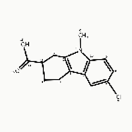 Cn1c2c(c3cc(Cl)ccc31)CCC(C(=O)O)C2